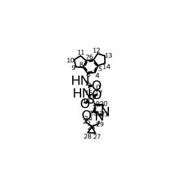 O=C(Nc1cc2c(c3c1CCC3)CCC2)NS(=O)(=O)c1cnn2c1OCC1(CC1)C2